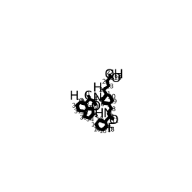 CC(C(=O)Nc1cc(CNC(=O)c2ccccc2F)ccc1CCCC(=O)O)c1cccc2ccccc12